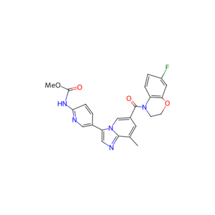 COC(=O)Nc1ccc(-c2cnc3c(C)cc(C(=O)N4CCOc5cc(F)ccc54)cn23)cn1